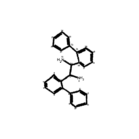 NC(c1ccccc1-c1ccccc1)C(N)c1ccccc1-c1ccccc1